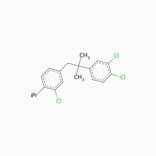 CC(C)c1ccc(CC(C)(C)c2ccc(Cl)c(Cl)c2)cc1Cl